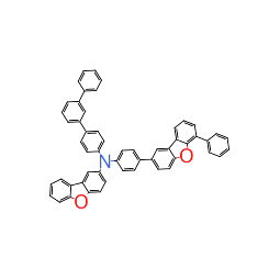 c1ccc(-c2cccc(-c3ccc(N(c4ccc(-c5ccc6oc7c(-c8ccccc8)cccc7c6c5)cc4)c4ccc5oc6ccccc6c5c4)cc3)c2)cc1